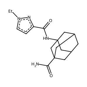 CCn1ccc(C(=O)NC23CC4CC(C2)CC(C(N)=O)(C4)C3)n1